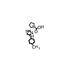 Cc1ccc(-c2cnc([C@@H]3CCCN3C(=O)O)[nH]2)cc1